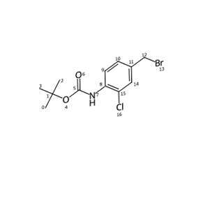 CC(C)(C)OC(=O)Nc1ccc(CBr)cc1Cl